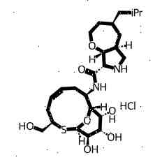 CC(C)C[C@@H]1CCO[C@@H]2[C@H](CN[C@@H]2C(=O)N[C@@H]2C/C=C\C[C@H](CO)S[C@H]3O[C@H]2[C@H](O)[C@H](O)[C@H]3O)C1.Cl